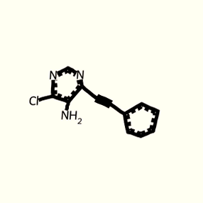 Nc1c(Cl)ncnc1C#Cc1ccccc1